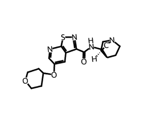 O=C(N[C@H]1CN2CCC1CC2)c1nsc2ncc(OC3CCOCC3)cc12